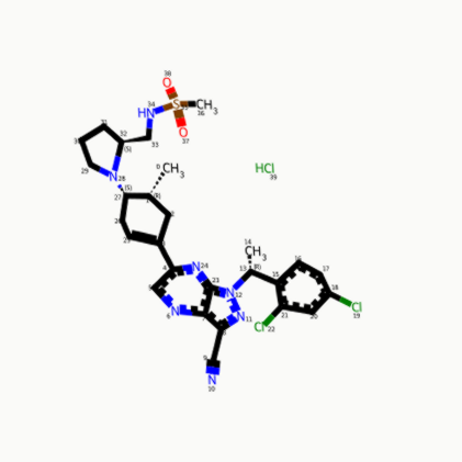 C[C@@H]1CC(c2cnc3c(C#N)nn([C@H](C)c4ccc(Cl)cc4Cl)c3n2)=CC[C@@H]1N1CCC[C@H]1CNS(C)(=O)=O.Cl